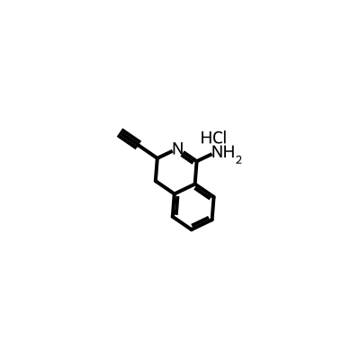 C#CC1Cc2ccccc2C(N)=N1.Cl